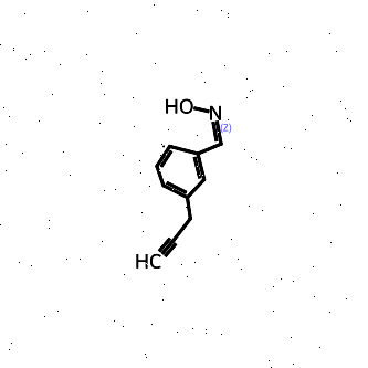 C#CCc1cc[c]c(/C=N\O)c1